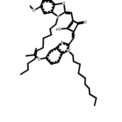 CCCCCCCCCCN1/C(=C\C2=C(O)C(=C\c3sc4cc(OC(C)C)ccc4[n+]3CCCCCCCCCC)/C2=O)Oc2ccc(OC)cc21